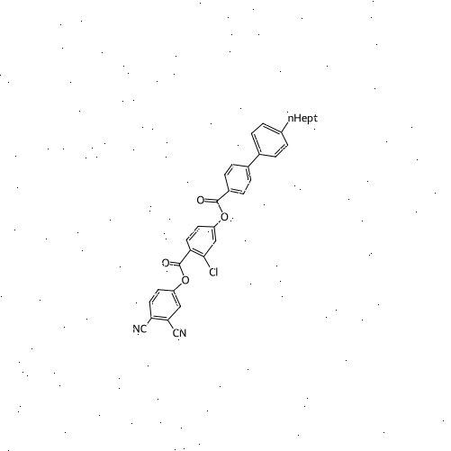 CCCCCCCc1ccc(-c2ccc(C(=O)Oc3ccc(C(=O)Oc4ccc(C#N)c(C#N)c4)c(Cl)c3)cc2)cc1